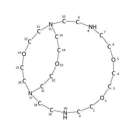 C1COCCOCCNCCN2CCOCCN(CCN1)CCOCC2